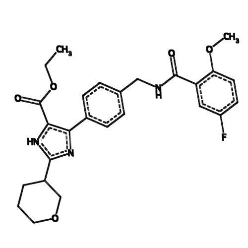 CCOC(=O)c1[nH]c(C2CCCOC2)nc1-c1ccc(CNC(=O)c2cc(F)ccc2OC)cc1